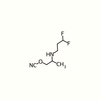 CC(COC#N)NCCC(F)F